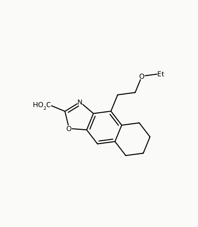 CCOCCc1c2c(cc3oc(C(=O)O)nc13)CCCC2